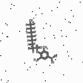 CC[S+](CC)c1cc(C)c(OS(=O)(=O)C(F)(F)C(F)(F)C(F)(F)C(F)(F)C(F)(F)C(F)(F)C(F)(F)C(F)(F)F)c(C)c1